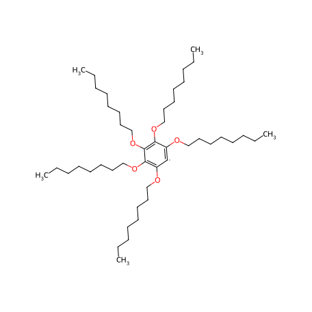 CCCCCCCCOc1[c]c(OCCCCCCCC)c(OCCCCCCCC)c(OCCCCCCCC)c1OCCCCCCCC